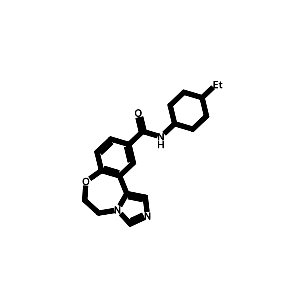 CCC1CCC(NC(=O)c2ccc3c(c2)-c2cncn2CCO3)CC1